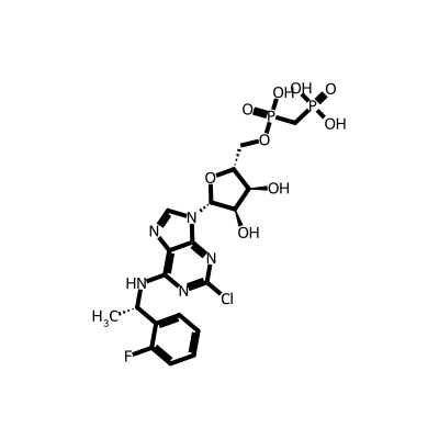 C[C@H](Nc1nc(Cl)nc2c1ncn2[C@@H]1O[C@H](COP(=O)(O)CP(=O)(O)O)[C@@H](O)[C@H]1O)c1ccccc1F